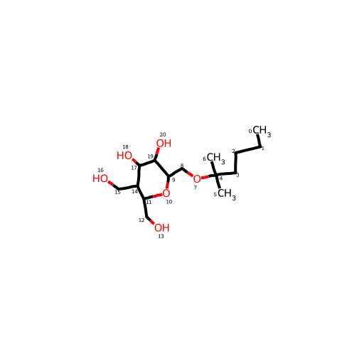 CCCCC(C)(C)OCC1OC(CO)C(CO)C(O)C1O